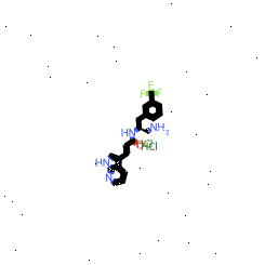 Cl.Cl.NC[C@H](Cc1cccc(C(F)(F)F)c1)NC(=O)C=Cc1c[nH]c2ncccc12